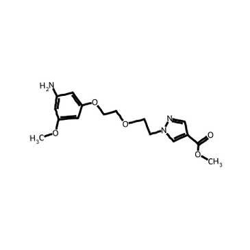 COC(=O)c1cnn(CCOCCOc2cc(N)cc(OC)c2)c1